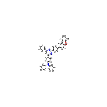 c1ccc(-c2cc(-c3ccc(-n4c5ccccc5c5ccccc54)cc3)nc(-c3ccc(-c4ccc5oc6ccccc6c5c4)cc3)n2)cc1